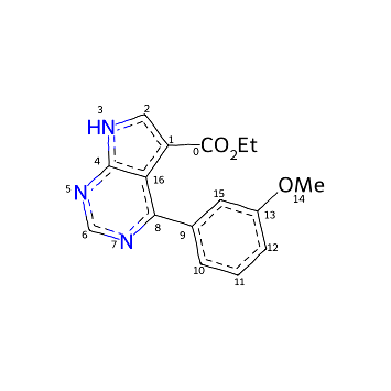 CCOC(=O)c1c[nH]c2ncnc(-c3cccc(OC)c3)c12